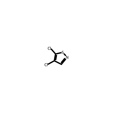 Clc1cnsc1Cl